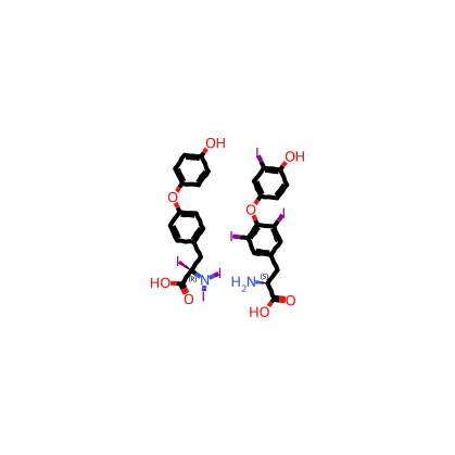 N[C@@H](Cc1cc(I)c(Oc2ccc(O)c(I)c2)c(I)c1)C(=O)O.O=C(O)[C@](I)(Cc1ccc(Oc2ccc(O)cc2)cc1)N(I)I